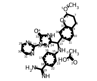 CC(=O)O.CO[C@@H]1CCc2ccc(C(Nc3ccc(C(=N)N)cc3)c3nn(-c4ncccn4)c(=O)[nH]3)cc2O1